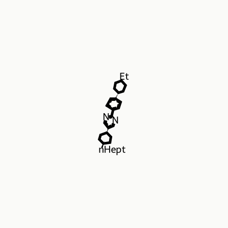 CCCCCCC[C@H]1CC[C@H](c2cnc(-c3ccc([C@H]4CC[C@H](CC)CC4)cc3)nc2)CC1